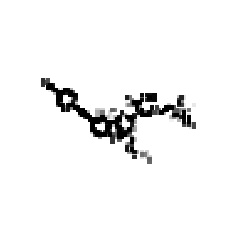 COC[C@]12CC1[C@@](C)(c1cc(C#Cc3ccc(C#N)cn3)ccc1F)N=C(N(COCC[Si](C)(C)C)C(=O)O)S2